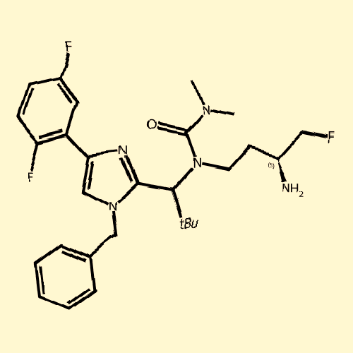 CN(C)C(=O)N(CC[C@H](N)CF)C(c1nc(-c2cc(F)ccc2F)cn1Cc1ccccc1)C(C)(C)C